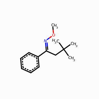 CON=C(CC(C)(C)C)c1ccccc1